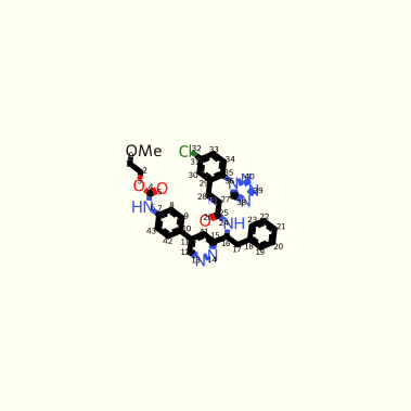 COCCOC(=O)Nc1ccc(-c2cnnc(C(Cc3ccccc3)NC(=O)/C=C/c3cc(Cl)ccc3-n3cnnn3)c2)cc1